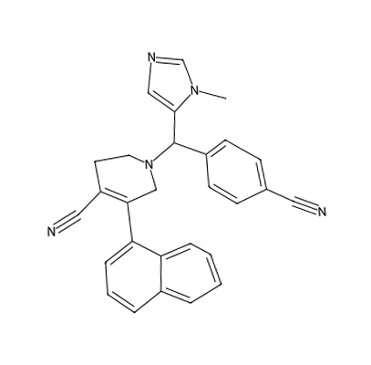 Cn1cncc1C(c1ccc(C#N)cc1)N1CCC(C#N)=C(c2cccc3ccccc23)C1